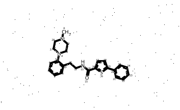 CN1CCN(c2ccccc2CCNC(=O)c2ccc(-c3ccccc3)s2)CC1